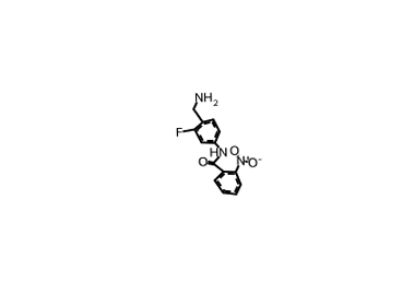 NCc1ccc(NC(=O)c2ccccc2[N+](=O)[O-])cc1F